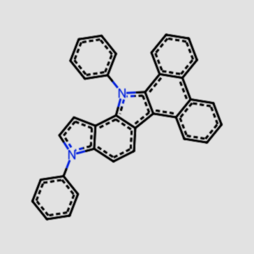 c1ccc(-n2ccc3c2ccc2c4c5ccccc5c5ccccc5c4n(-c4ccccc4)c23)cc1